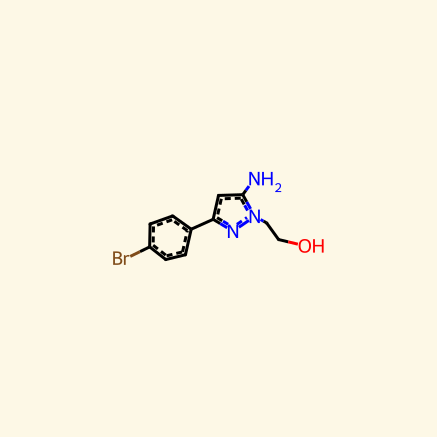 Nc1cc(-c2ccc(Br)cc2)nn1CCO